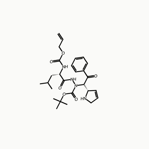 C=CCOC(=O)N[C@@H](CC(C)C)C(=O)NN(C(=O)OC(C)(C)C)C(C(=O)c1ccccc1)[C@@H]1C=CCN1